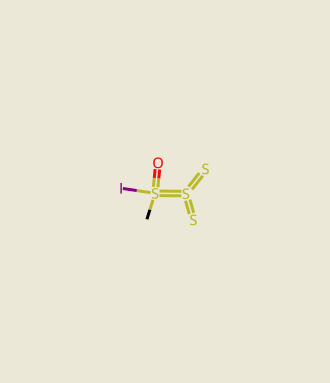 CS(=O)(I)=S(=S)=S